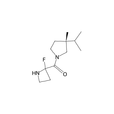 CC(C)[C@@]1(C)CCN(C(=O)C2(F)CCN2)C1